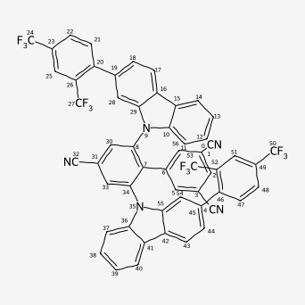 N#Cc1cc(C#N)cc(-c2c(-n3c4ccccc4c4ccc(-c5ccc(C(F)(F)F)cc5C(F)(F)F)cc43)cc(C#N)cc2-n2c3ccccc3c3ccc(-c4ccc(C(F)(F)F)cc4C(F)(F)F)cc32)c1